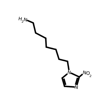 NCCCCCCCn1ccnc1[N+](=O)[O-]